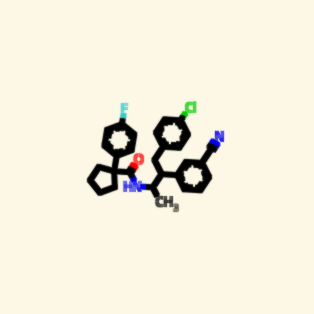 CC(NC(=O)C1(c2ccc(F)cc2)CCCC1)C(Cc1ccc(Cl)cc1)c1cccc(C#N)c1